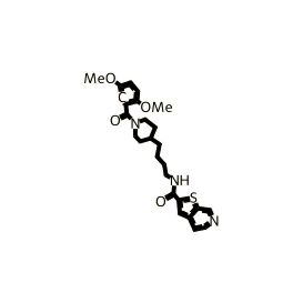 COc1ccc(OC)c(C(=O)N2CCC(CCCCNC(=O)c3cc4ccncc4s3)CC2)c1